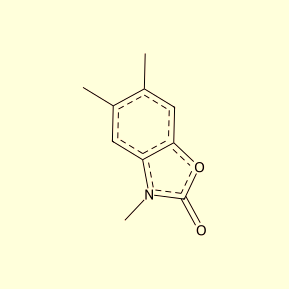 Cc1cc2oc(=O)n(C)c2cc1C